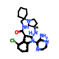 Nc1nccnc1-n1cc(C(=O)NCC2(N3CC[C@@H](N)C3)CCCCC2)c2c(Cl)cccc21